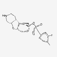 Cc1ccc(S(=O)(=O)Oc2ccc3c(c2)C2CCNCC2O3)cc1F